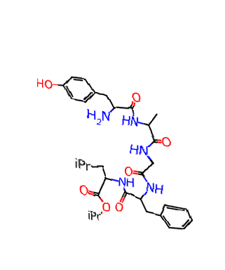 CC(C)CC(NC(=O)C(Cc1ccccc1)NC(=O)CNC(=O)C(C)NC(=O)C(N)Cc1ccc(O)cc1)C(=O)OC(C)C